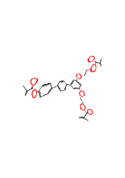 C=C(C)C(=O)OCCOc1cc(OCCOC(=O)C(=C)C)cc(-c2ccc(-c3ccc(OC(=O)C(=C)C)cc3)cc2)c1